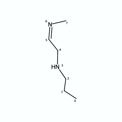 CCCNC/C=N\C